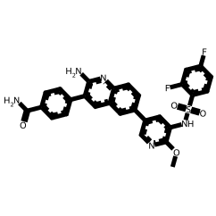 COc1ncc(-c2ccc3nc(N)c(-c4ccc(C(N)=O)cc4)cc3c2)cc1NS(=O)(=O)c1ccc(F)cc1F